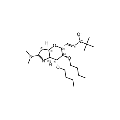 CCCCO[C@@H]1[C@H]2N=C(N(C)C)S[C@H]2O[C@H](C=N[S+]([O-])C(C)(C)C)[C@H]1OCCCC